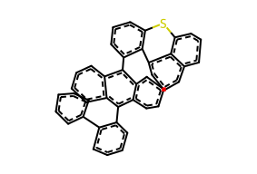 c1ccc(-c2ccccc2-c2c3ccccc3c(-c3cccc4c3-c3cccc5cccc(c35)S4)c3ccccc23)cc1